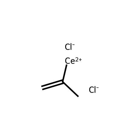 C=[C](C)[Ce+2].[Cl-].[Cl-]